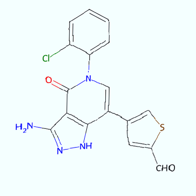 Nc1n[nH]c2c(-c3csc(C=O)c3)cn(-c3ccccc3Cl)c(=O)c12